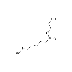 CC(=O)SCCCCCC(=O)OCCO